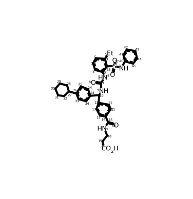 CCc1cccc(NC(=O)NC(c2ccc(C(=O)NCCC(=O)O)cc2)c2ccc(C3CCCCC3)cc2)c1S(=O)(=O)Nc1ccccc1